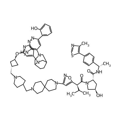 Cc1ncsc1-c1ccc([C@H](C)NC(=O)[C@@H]2C[C@@H](O)CN2C(=O)[C@H](c2cc(N3CCC4(CCN(CC5CCN(C[C@H]6C[C@H](Oc7cc(N8CC9CCC8CN(c8cc(-c%10ccccc%10O)nnc8N)C9)ccn7)C6)CC5)CC4)CC3)no2)C(C)C)cc1